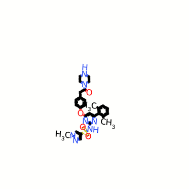 Cc1cccc(C)c1-c1cc(Oc2ccc(CC(=O)N3CCNCC3)cc2)nc(NS(=O)(=O)c2cnn(C)c2)n1